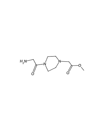 COC(=O)CN1CCN(C(=O)CN)CC1